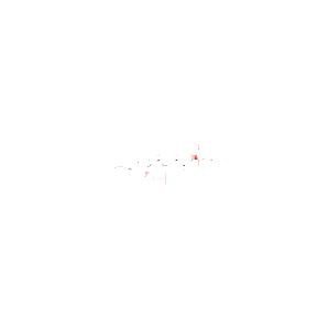 CCCC[C@H](O)CCCCC(=O)OC